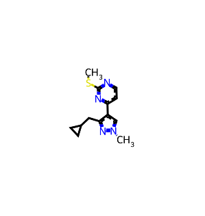 CSc1nccc(-c2cn(C)nc2CC2CC2)n1